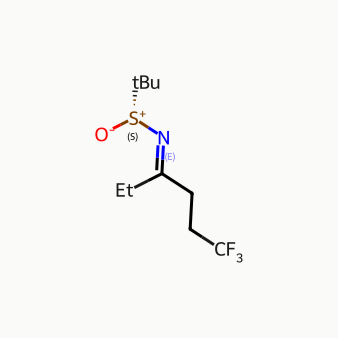 CC/C(CCC(F)(F)F)=N\[S@+]([O-])C(C)(C)C